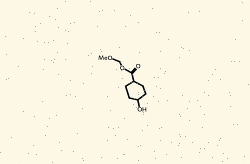 COCOC(=O)C1CCC(O)CC1